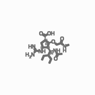 CCC(CC)[C@@H](NC(C)=O)[C@@H]1[C@H](OCC(=O)NC)[C@@H](C(=O)O)C[C@H]1NC(=N)N